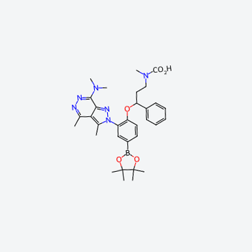 Cc1nnc(N(C)C)c2nn(-c3cc(B4OC(C)(C)C(C)(C)O4)ccc3OC(CCN(C)C(=O)O)c3ccccc3)c(C)c12